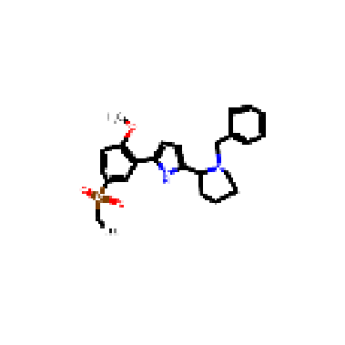 CCS(=O)(=O)c1ccc(OC)c(-c2ccc(C3CCCCN3Cc3ccccc3)[nH]2)c1